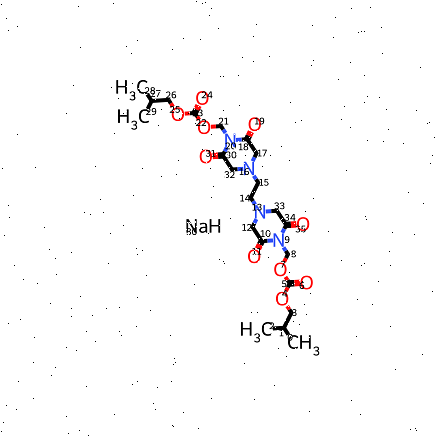 CC(C)COC(=O)OCN1C(=O)CN(CCN2CC(=O)N(COC(=O)OCC(C)C)C(=O)C2)CC1=O.[NaH]